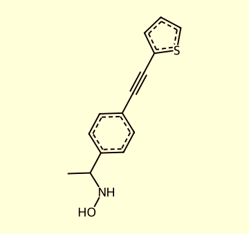 CC(NO)c1ccc(C#Cc2cccs2)cc1